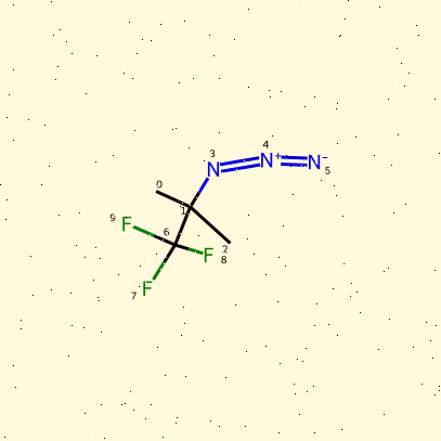 CC(C)(N=[N+]=[N-])C(F)(F)F